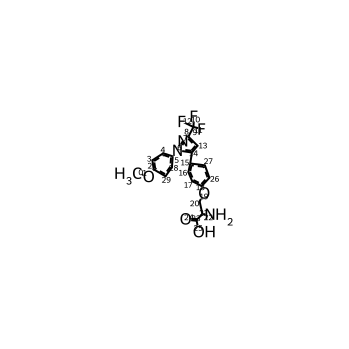 COc1ccc(-n2nc(C(F)(F)F)cc2-c2ccc(OCC(N)C(=O)O)cc2)cc1